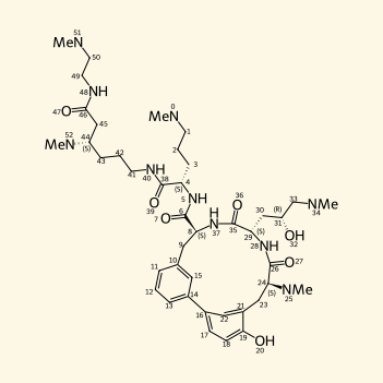 CNCCC[C@H](NC(=O)[C@@H]1Cc2cccc(c2)-c2ccc(O)c(c2)C[C@H](NC)C(=O)N[C@@H](C[C@@H](O)CNC)C(=O)N1)C(=O)NCCC[C@@H](CC(=O)NCCNC)NC